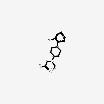 N#Cc1ccccc1N1CCC(N(CC(N)=O)CC(F)(F)F)CC1